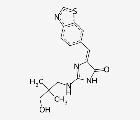 CC(C)(CO)CNC1=N/C(=C\c2ccc3ncsc3c2)C(=O)N1